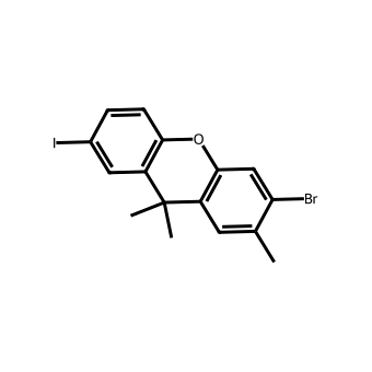 Cc1cc2c(cc1Br)Oc1ccc(I)cc1C2(C)C